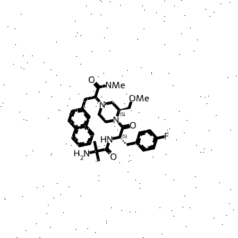 CNC(=O)C(Cc1ccc2ccccc2c1)N1CCN(C(=O)[C@H](Cc2ccc(F)cc2)NC(=O)C(C)(C)N)[C@H](COC)C1